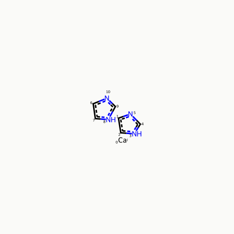 [Ca].c1c[nH]cn1.c1c[nH]cn1